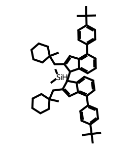 C[SiH](C)C1(C2C(CC3(C)CCCCC3)=Cc3c(-c4ccc(C(C)(C)C)cc4)cccc32)C(CC2(C)CCCCC2)=Cc2c(-c3ccc(C(C)(C)C)cc3)cccc21